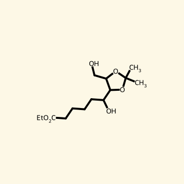 CCOC(=O)CCCCC(O)C1OC(C)(C)OC1CO